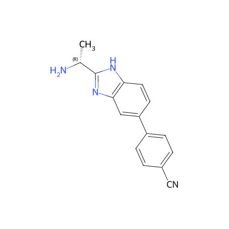 C[C@@H](N)c1nc2cc(-c3ccc(C#N)cc3)ccc2[nH]1